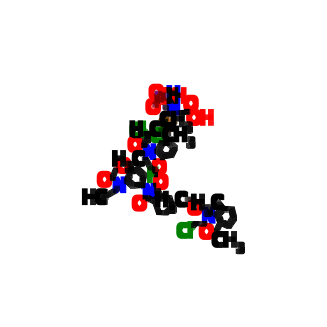 C#CCN1C(=O)COc2cc(F)c(N3C(=O)C4=C(CCCC4)C3=O)cc21.CC1COc2ccccc2N1C(=O)C(Cl)Cl.CCOCN(C(=O)CCl)c1c(C)cccc1CC.C[S+](C)C.O=C(O)CNCP(=O)([O-])O